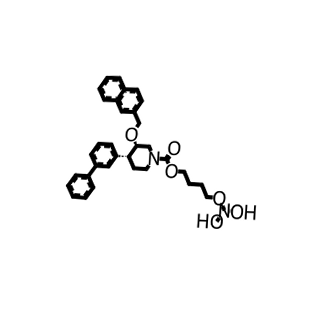 O=C(OCCCCON(O)O)N1CC[C@H](c2cccc(-c3ccccc3)c2)[C@@H](OCc2ccc3ccccc3c2)C1